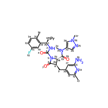 CCC[C@@H](NC(=O)N1C(=O)[C@H](Cc2cc(C)nc(N)c2)[C@H]1C(=O)N(C)c1cnn(C)c1)c1cc(F)ccc1C